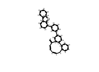 C=C1/C=C\C=C/Cc2ccccc2-c2ccc(-c3cccc(-c4cccc5c4oc4ccccc45)c3)cc21